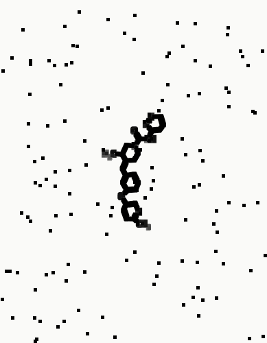 Cc1ccc(Oc2cccc(C=C3CCN(C(=O)Nc4cccnn4)CC3C)c2)cn1